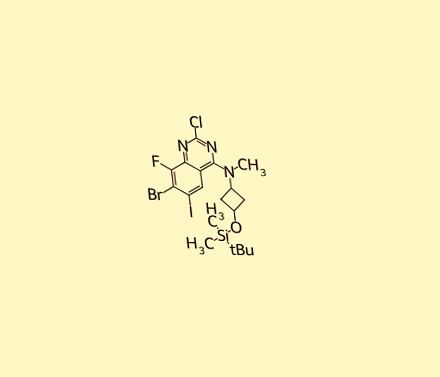 CN(c1nc(Cl)nc2c(F)c(Br)c(I)cc12)C1CC(O[Si](C)(C)C(C)(C)C)C1